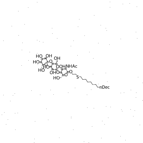 CCCCCCCCCCCCCCCCCCSCCO[C@H]1O[C@H](CO)[C@@H](O[C@@H]2O[C@H](CO)[C@H](O[C@@H]3O[C@H](CO)[C@H](O)[C@H](O)[C@H]3O)[C@H](O)[C@H]2O)[C@H](O)[C@@H]1NC(C)=O